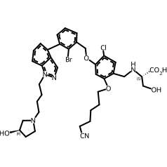 N#CCCCCCOc1cc(OCc2cccc(-c3cccc4c3cnn4CCCCN3CC[C@@H](O)C3)c2Br)c(Cl)cc1CN[C@@H](CO)C(=O)O